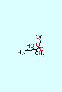 C=CCC(O)C(=C)C(=O)OCC1CO1